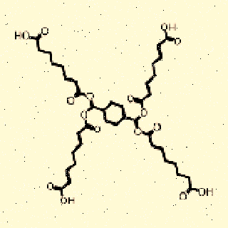 O=C(O)CCCCCCC(=O)OC(OC(=O)CCCCCCC(=O)O)C1CCC(C(OC(=O)CCCCCCC(=O)O)OC(=O)CCCCCCC(=O)O)CC1